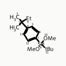 CCC(C)(C)c1ccc([Si](OC)(OC)C(C)(C)C)cc1